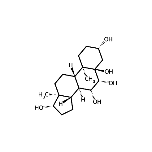 C[C@]12CC[C@H]3[C@@H]([C@@H](O)[C@@H](O)[C@@]4(O)C[C@@H](O)CC[C@]34C)[C@@H]1CC[C@@H]2O